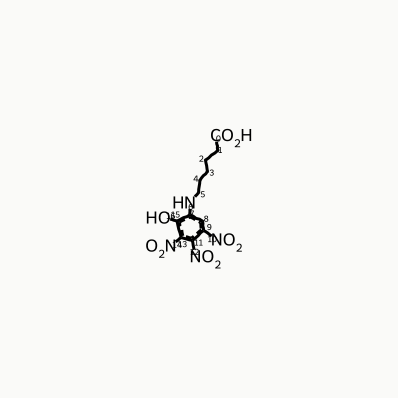 O=C(O)CCCCCNc1cc([N+](=O)[O-])c([N+](=O)[O-])c([N+](=O)[O-])c1O